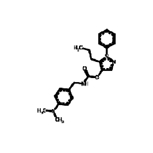 CCCc1c(OC(=O)NCc2ccc(N(C)C)cc2)cnn1-c1ccccc1